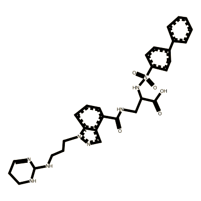 O=C(NCC(NS(=O)(=O)c1ccc(-c2ccccc2)cc1)C(=O)O)c1cccc2c1cnn2CCCNC1N=CCCN1